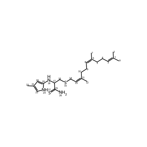 CC(C)=CCCC(C)=CCCC(C)=CCSCC(Nc1cc(C)c[nH]1)C(N)=S